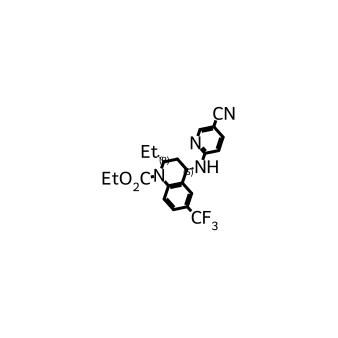 CCOC(=O)N1c2ccc(C(F)(F)F)cc2[C@@H](Nc2ccc(C#N)cn2)C[C@H]1CC